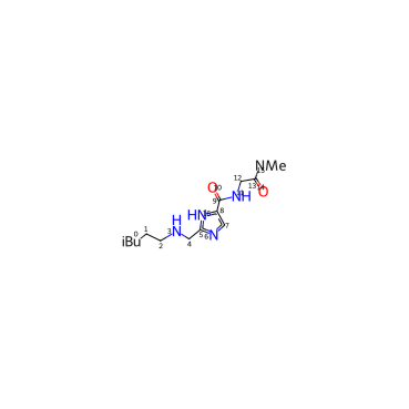 CCC(C)CCNCc1ncc(C(=O)NCC(=O)NC)[nH]1